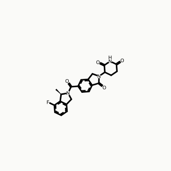 C[C@@H]1c2c(F)cccc2CN1C(=O)c1ccc2c(c1)CN(C1CCC(=O)NC1=O)C2=O